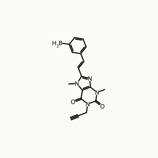 Bc1cccc(/C=C/c2nc3c(c(=O)n(CC#C)c(=O)n3C)n2C)c1